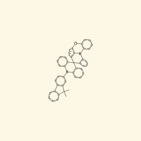 CC1(C)c2ccccc2-c2ccc(B3c4ccccc4C4(c5ccccc53)c3ccccc3B3c5ccccc5Oc5cccc4c53)cc21